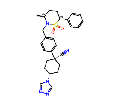 C[C@H]1CC[C@H](c2ccccc2)S(=O)(=O)N1Cc1ccc([C@]2(C#N)CC[C@@H](n3cnnc3)CC2)cc1